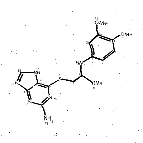 COc1ccc(NC(CSc2nc(N)nc3nc[nH]c23)OC)cc1OC